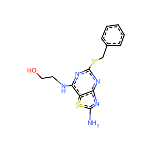 Nc1nc2nc(SCc3ccccc3)nc(NCCO)c2s1